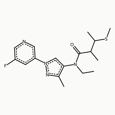 CCN(C(=O)C(C)C(C)SC)c1cn(-c2cncc(F)c2)nc1C